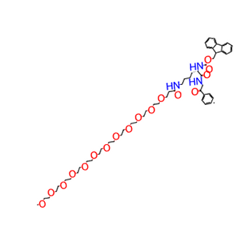 COCCOCCOCCOCCOCCOCCOCCOCCOCCOCCOCCOCCC(=O)NCCCC[C@H](NC(=O)OCC1c2ccccc2-c2ccccc21)C(=O)NCC(=O)c1cc[c]cc1